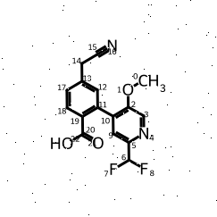 COc1cnc(C(F)F)cc1-c1cc(CC#N)ccc1C(=O)O